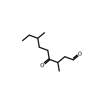 CCC(C)CCC(=O)C(C)CC=O